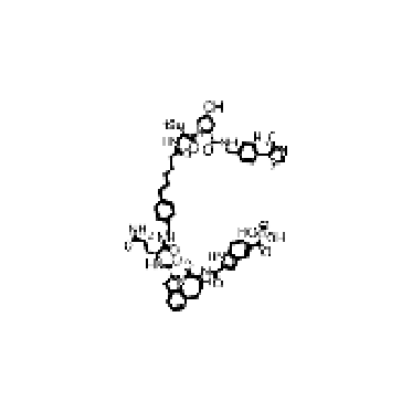 Cc1ncsc1-c1ccc(CNC(=O)[C@@H]2C[C@@H](O)CN2C(=O)[C@@H](NC(=O)CCCCCc2ccc(CNC(=O)[C@H](CCC(N)=O)NC(=O)[C@@H]3Cc4cccc5c4N3C(=O)[C@@H](NC(=O)c3cc4cc(C(=O)P(=O)(O)O)ccc4[nH]3)CC5)cc2)C(C)(C)C)cc1